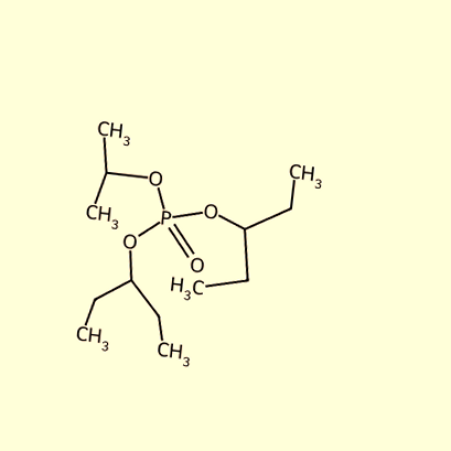 CCC(CC)OP(=O)(OC(C)C)OC(CC)CC